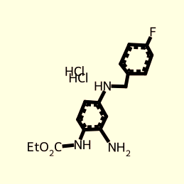 CCOC(=O)Nc1ccc(NCc2ccc(F)cc2)cc1N.Cl.Cl